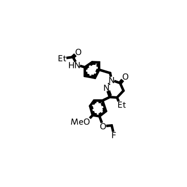 CCC(=O)Nc1ccc(CN2N=C(c3ccc(OC)c(OCF)c3)C(CC)CC2=O)cc1